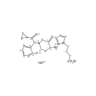 CCOC(=O)CCCn1ccc(C=C2CN(C(C(=O)C3CC3)c3ccccc3F)CCC2S)n1.Cl